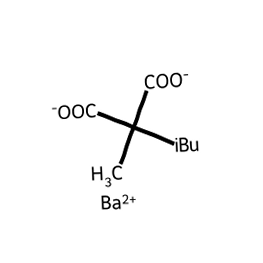 CCC(C)C(C)(C(=O)[O-])C(=O)[O-].[Ba+2]